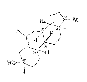 CC(=O)[C@H]1CC[C@H]2[C@@H]3CC(F)=C4C[C@@](C)(O)CC[C@@H]4[C@H]3CC[C@]12C